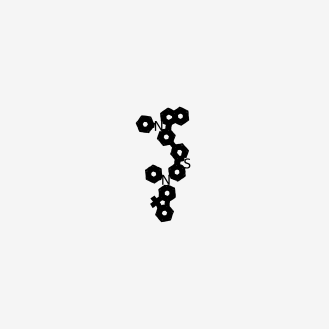 CC1(C)c2ccccc2-c2ccc(N(c3ccccc3)c3ccc4sc5ccc(-c6ccc7c(c6)c6c8ccccc8ccc6n7-c6ccccc6)cc5c4c3)cc21